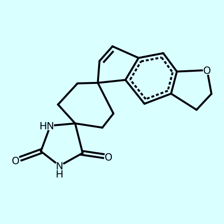 O=C1NC(=O)C2(CCC3(C=Cc4cc5c(cc43)CCO5)CC2)N1